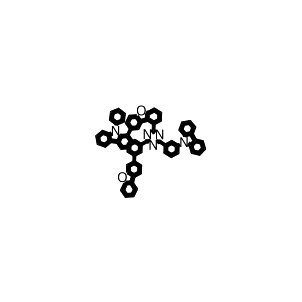 c1ccc(-n2c3ccccc3c3cccc(-c4ccc5oc6cccc(-c7nc(-c8cccc(-c9ccc%10c(c9)oc9ccccc9%10)c8)nc(-c8cccc(-n9c%10ccccc%10c%10ccccc%109)c8)n7)c6c5c4)c32)cc1